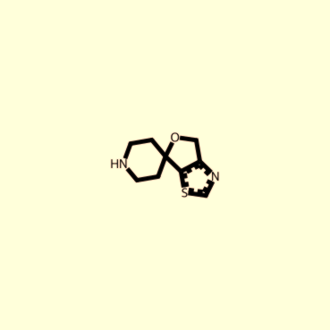 c1nc2c(s1)C1(CCNCC1)OC2